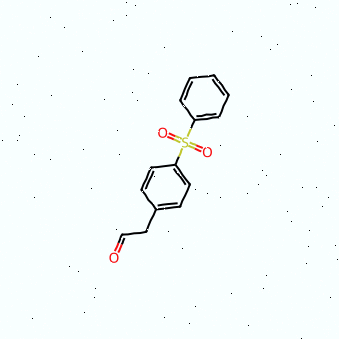 O=CCc1ccc(S(=O)(=O)c2ccccc2)cc1